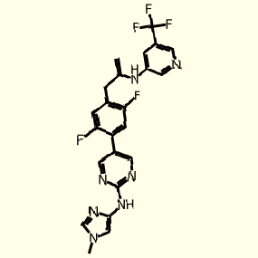 C=C(Cc1cc(F)c(-c2cnc(Nc3cn(C)cn3)nc2)cc1F)Nc1cncc(C(F)(F)F)c1